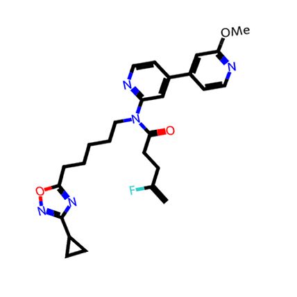 C=C(F)CCC(=O)N(CCCCCc1nc(C2CC2)no1)c1cc(-c2ccnc(OC)c2)ccn1